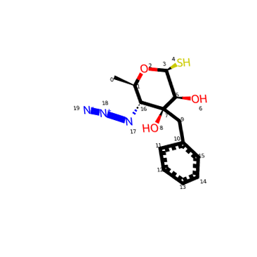 C[C@H]1O[C@@H](S)[C@@H](O)[C@](O)(Cc2ccccc2)[C@@H]1N=[N+]=[N-]